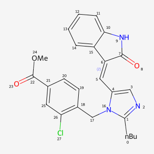 CCCCc1ncc(/C=C2\C(=O)Nc3ccccc32)n1Cc1ccc(C(=O)OC)cc1Cl